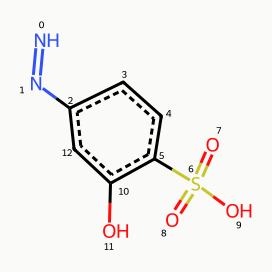 N=Nc1ccc(S(=O)(=O)O)c(O)c1